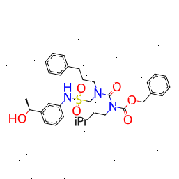 CC(C)CCN(C(=O)OCc1ccccc1)C(=O)N(CCCc1ccccc1)CS(=O)(=O)Nc1cccc([C@H](C)O)c1